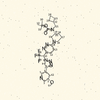 COc1cncc(-c2cn(C(c3ccc(N4CCC[C@@H](N(CC5CCC5)C(=O)OC(C)(C)C)C4)nn3)C(F)(F)F)nn2)c1